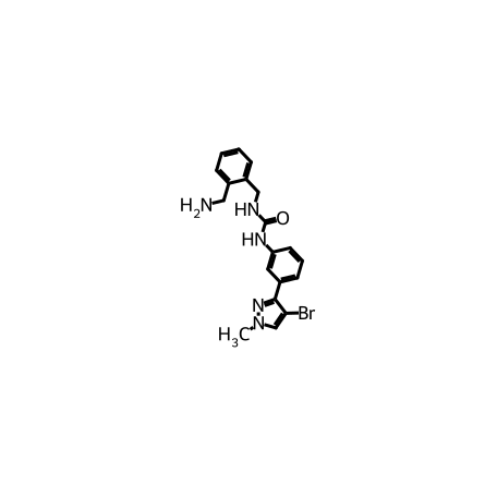 Cn1cc(Br)c(-c2cccc(NC(=O)NCc3ccccc3CN)c2)n1